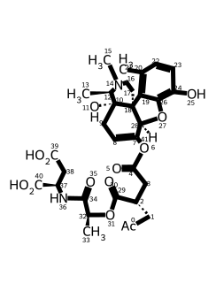 CC(=O)C[C@@H](CC(=O)OC1=CC[C@@]2(O)[C@@H](C)N(C)CC[C@@]23c2c(C)ccc(O)c2O[C@@H]13)C(=O)O[C@@H](C)C(=O)N[C@H](CC(=O)O)C(=O)O